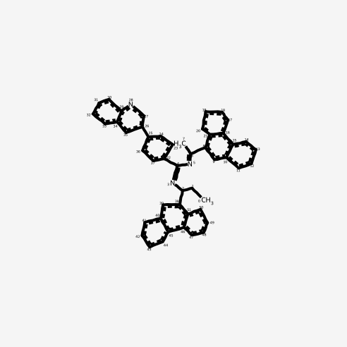 CCC(/N=C(\N=C(/C)c1cc2ccccc2c2ccccc12)c1ccc(-c2cnc3ccccc3c2)cc1)c1cc2ccccc2c2ccccc12